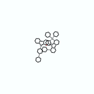 c1ccc(-c2ccc(-n3c4ccccc4c4ccc(-n5c6c(-c7ccccc7)cccc6c6cccc([Si](c7ccccc7)(c7ccccc7)c7ccccc7)c65)cc43)cc2)cc1